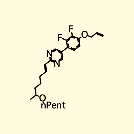 C=CCOc1ccc(-c2cnc(/C=C/CCCC(C)OCCCCC)nc2)c(F)c1F